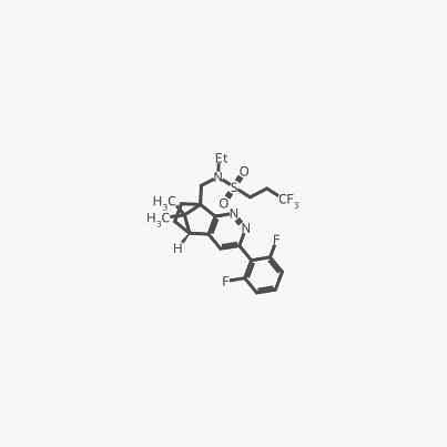 CCN(CC12CC[C@@H](c3cc(-c4c(F)cccc4F)nnc31)C2(C)C)S(=O)(=O)CCC(F)(F)F